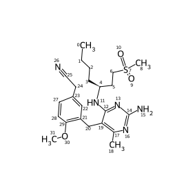 CCCC[C@@H](CCS(C)(=O)=O)Nc1nc(N)nc(C)c1Cc1cc(CC#N)ccc1OC